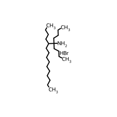 Br.CCCCCCCCCCC(CCCC)C(N)(CCCC)CCCC